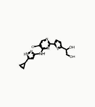 OCC(O)c1ccc(-c2ncc(Cl)c(Nc3cc(C4CC4)[nH]n3)n2)s1